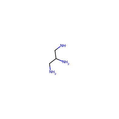 [NH]CC(N)CN